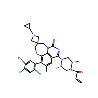 C=CC(=O)N1C[C@H](C)N(c2nc(=O)n3c4c(c(-c5cc(Cl)c(F)cc5F)c(C)cc24)SCC2(CN(C4CC4)C2)C3)C[C@H]1C